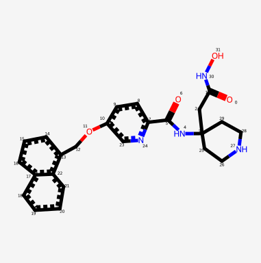 O=C(CC1(NC(=O)c2ccc(OCc3cccc4ccccc34)cn2)CCNCC1)NO